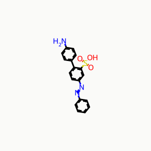 Nc1ccc(-c2ccc(/N=N/c3ccccc3)cc2S(=O)(=O)O)cc1